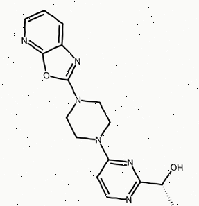 C[C@@H](O)c1nccc(N2CCN(c3nc4cccnc4o3)CC2)n1